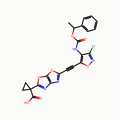 CC(OC(=O)Nc1c(Cl)noc1C#Cc1nc2nc(C3(C(=O)O)CC3)oc2o1)c1ccccc1